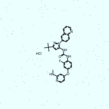 CNc1cc(Oc2ccc(NC(=O)Nc3cc(C(C)(C)C)nn3-c3ccc4ncccc4c3)c(F)c2)ccn1.Cl